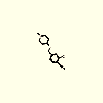 CN1CCC(OCc2ccc(C#N)c(Cl)c2)CC1